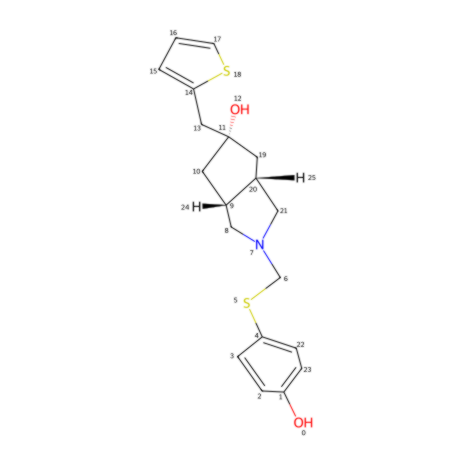 Oc1ccc(SCN2C[C@@H]3C[C@@](O)(Cc4cccs4)C[C@@H]3C2)cc1